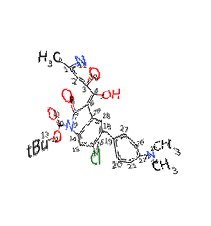 Cc1cc(C(O)=C2C(=O)N(C(=O)OC(C)(C)C)c3cc(Cl)c(-c4ccc(N(C)C)cc4)cc32)on1